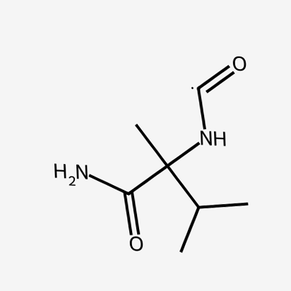 CC(C)C(C)(N[C]=O)C(N)=O